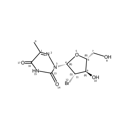 Cc1nn([C@@H]2O[C@H](CO)[C@@H](O)[C@@H]2Br)c(=O)[nH]c1=O